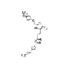 C=C(CCc1nnc([C@H]2C[C@@H](COC(F)(F)F)C2)o1)NC(=O)CO[C@H]1C[C@@H](OC(F)(F)F)C1